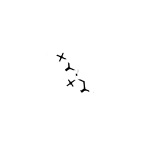 CC(C)(C)OC(=O)NN(CC(=O)O)C(C)(C)C